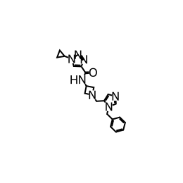 O=C(NC1CN(Cc2cncn2Cc2ccccc2)C1)c1cn(C2CC2)nn1